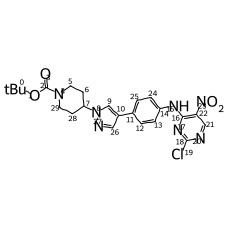 CC(C)(C)OC(=O)N1CCC(n2cc(-c3ccc(Nc4nc(Cl)ncc4[N+](=O)[O-])cc3)cn2)CC1